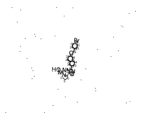 N/C(=N\O)N1CCC[C@H]1c1nc(-c2ccc3cc(OCc4ccc(Br)cc4)ccc3c2)no1